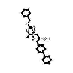 CC(NC(=O)OCc1ccccc1)P(=O)(O)C[C@H](Cc1ccc(-c2ccccc2)cc1)C(=O)O